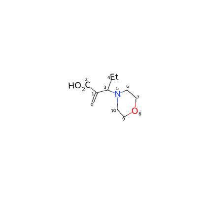 C=C(C(=O)O)C(CC)N1CCOCC1